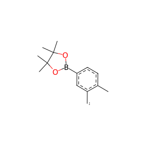 [CH]c1cc(B2OC(C)(C)C(C)(C)O2)ccc1C